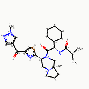 CN[C@@H](C)C(=O)N[C@H](C(=O)N1C[C@H]2CCCN2C[C@H]1c1nc(C(=O)c2cnn(C)c2)cs1)C1CCCCC1